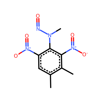 Cc1cc([N+](=O)[O-])c(N(C)N=O)c([N+](=O)[O-])c1C